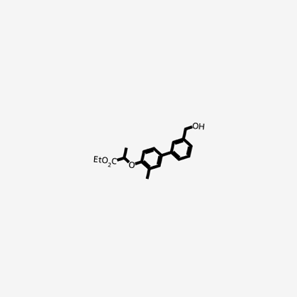 CCOC(=O)C(C)Oc1ccc(-c2cccc(CO)c2)cc1C